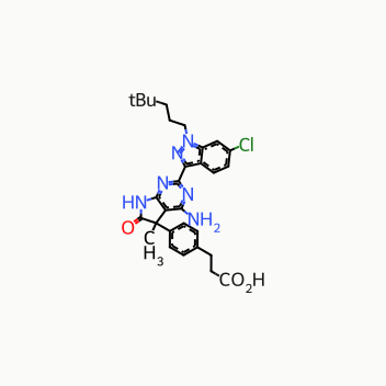 CC(C)(C)CCCn1nc(-c2nc(N)c3c(n2)NC(=O)C3(C)c2ccc(CCC(=O)O)cc2)c2ccc(Cl)cc21